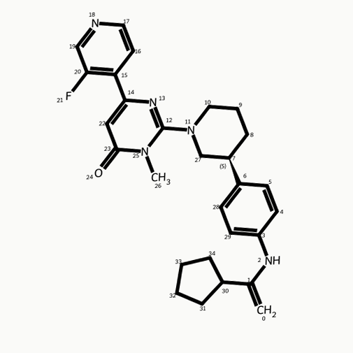 C=C(Nc1ccc([C@@H]2CCCN(c3nc(-c4ccncc4F)cc(=O)n3C)C2)cc1)C1CCCC1